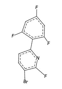 Fc1cc(F)c(-c2ccc(Br)c(F)n2)c(F)c1